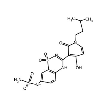 CC(C)CCn1ccc(O)c(C2=NS(=O)(=O)c3cc(NS(N)(=O)=O)ccc3N2)c1=O